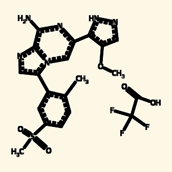 COc1cn[nH]c1-c1cn2c(-c3cc(S(C)(=O)=O)ccc3C)cnc2c(N)n1.O=C(O)C(F)(F)F